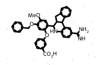 COc1cc(C2Nc3ccc(C(=N)N)cc3C3c4ccccc4CC23)c(Oc2cccc(C(=O)O)c2)cc1OCc1ccccc1